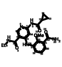 CCNC(=O)c1cnc(NC(=O)C2CC2)cc1Nc1cccc(C(N)=O)c1OC